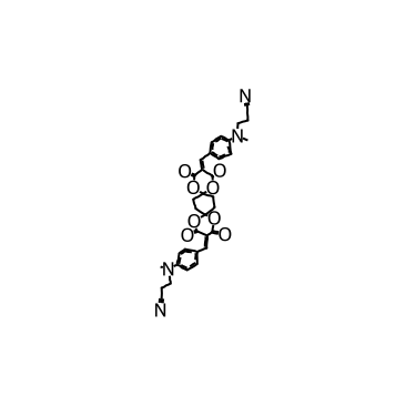 CN(CCC#N)c1ccc(C=C2C(=O)OC3(CCC4(CC3)OC(=O)C(=Cc3ccc(N(C)CCC#N)cc3)C(=O)O4)OC2=O)cc1